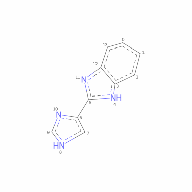 c1ccc2[nH]c(-c3c[nH]cn3)nc2c1